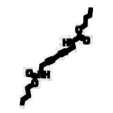 CCCCOC(=O)NCC#CC#CCNC(=O)OCCCC